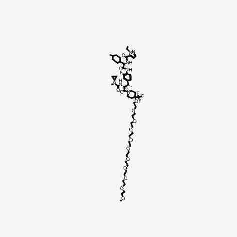 CCn1nccc1C(=O)N[C@H](C(=O)Nc1ccc([C@H](C)[C@@H](NC(=O)N(C)C2CC2)C(=O)N2CCC(OCCOCCOCCOCCOCCOCCOCCOCCOCCOCCOC)(C(F)(F)F)CC2)cc1F)C1CCC(C)CC1